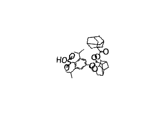 CC(C)c1cc(OC(=O)C2C3COC4C3CC2C4OC(=O)C23CC4CC(CC(C4)C2)C3)cc(C(C)C)c1S(=O)(=O)O